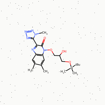 Cc1cc2nc(-c3nnnn3C)c(=O)n(OCC(O)CO[Si](C)(C)C(C)(C)C)c2cc1C